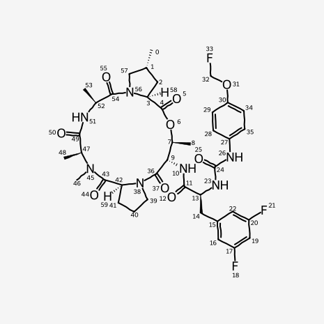 C[C@@H]1C[C@H]2C(=O)O[C@@H](C)[C@H](NC(=O)[C@H](Cc3cc(F)cc(F)c3)NC(=O)Nc3ccc(OCF)cc3)C(=O)N3CCC[C@H]3C(=O)N(C)[C@@H](C)C(=O)N[C@@H](C)C(=O)N2C1